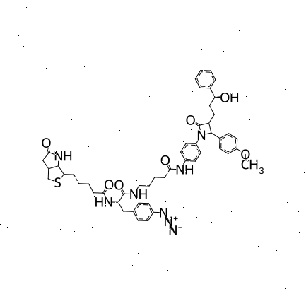 COc1ccc(C2C(CC[C@H](O)c3ccccc3)C(=O)N2c2ccc(NC(=O)CCCCNC(=O)C(Cc3ccc(N=[N+]=[N-])cc3)NC(=O)CCCCC3SCC4CC(=O)NC43)cc2)cc1